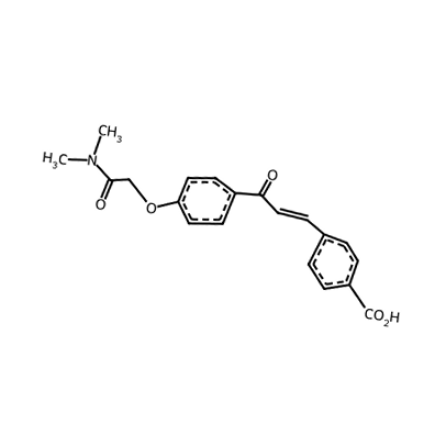 CN(C)C(=O)COc1ccc(C(=O)/C=C/c2ccc(C(=O)O)cc2)cc1